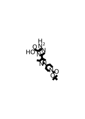 Cc1nn(C2CCN(C(=O)OC(C)(C)C)CC2)cc1-c1cnc(N)c(C(=O)O)n1